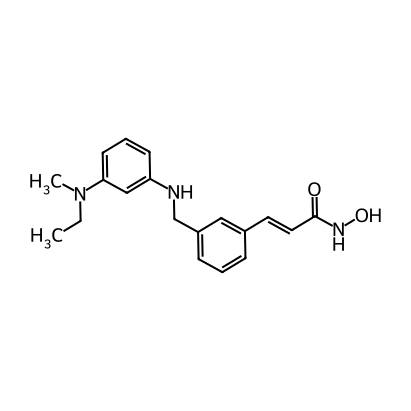 CCN(C)c1cccc(NCc2cccc(/C=C/C(=O)NO)c2)c1